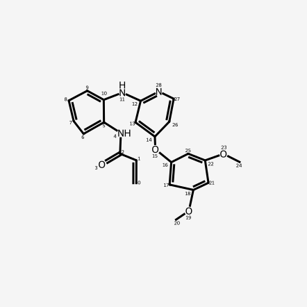 C=CC(=O)Nc1ccccc1Nc1cc(Oc2cc(OC)cc(OC)c2)ccn1